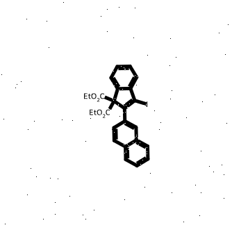 CCOC(=O)C1(C(=O)OCC)C(c2ccc3ccccc3c2)=C(I)c2ccccc21